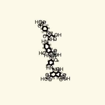 COc1cc(NNc2cc(S(=O)(=O)O)cc3cc(S(=O)(=O)O)cc(O)c23)c(C)cc1NNc1c(S(=O)(=O)O)cc2cc(NNC3C(=O)N(c4ccc(S(=O)(=O)O)cc4)N=C3C(=O)O)ccc2c1O